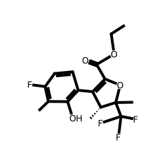 CCOC(=O)C1=C(c2ccc(F)c(C)c2O)[C@@H](C)C(C)(C(F)(F)F)O1